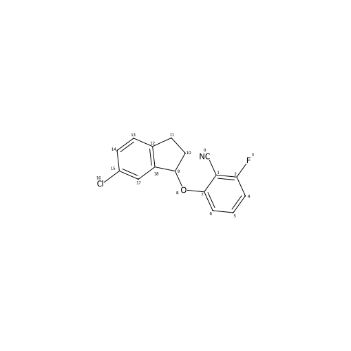 N#Cc1c(F)cccc1OC1CCc2ccc(Cl)cc21